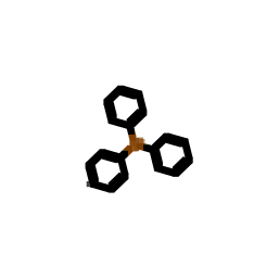 [c]1ccc([S+](c2ccccc2)c2ccccc2)cc1